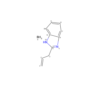 B.C=CCc1nc2ccccc2[nH]1